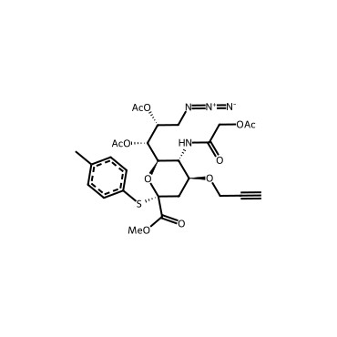 C#CCO[C@H]1C[C@@](Sc2ccc(C)cc2)(C(=O)OC)O[C@@H]([C@H](OC(C)=O)[C@@H](CN=[N+]=[N-])OC(C)=O)[C@@H]1NC(=O)COC(C)=O